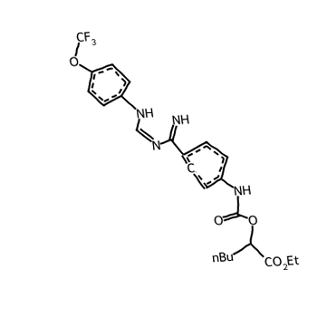 CCCCC(OC(=O)Nc1ccc(C(=N)/N=C\Nc2ccc(OC(F)(F)F)cc2)cc1)C(=O)OCC